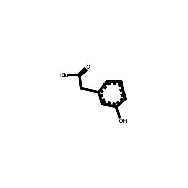 CCC(C)C(=O)Cc1cccc(O)c1